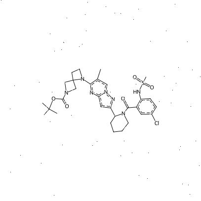 Cc1cn2nc(C3CCCCN3C(=O)c3cc(Cl)ccc3NS(C)(=O)=O)cc2nc1N1CCC12CN(C(=O)OC(C)(C)C)C2